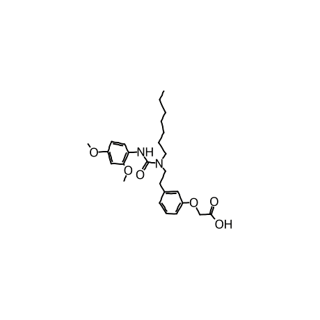 CCCCCCCN(CCc1cccc(OCC(=O)O)c1)C(=O)Nc1ccc(OC)cc1OC